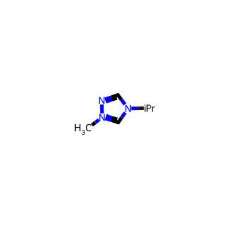 CC(C)n1cn[n+](C)c1